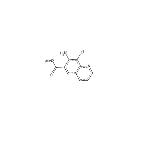 COC(=O)c1cc2cccnc2c(Cl)c1N